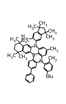 Cc1cc2c3c(c1)N(c1cc4c(cc1C)C(C)(C)CC4(C)C)c1cc4c(cc1B3c1ccc(-c3ccccc3)cc1N2c1cc(C(C)(C)C)ccc1C)C(C)(C)CCC4(C)C